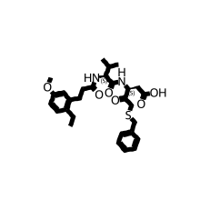 CCc1ccc(OC)cc1CCC(=O)N[C@H](C(=O)N[C@@H](CC(=O)O)C(=O)CSCc1ccccc1)C(C)C